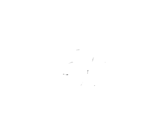 C=CCOC(=O)CS.C=CCOC(=O)CS.C=CCOC(=O)CS.CCC[CH2][Sn]